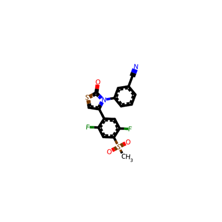 CS(=O)(=O)c1cc(F)c(-c2csc(=O)n2-c2cccc(C#N)c2)cc1F